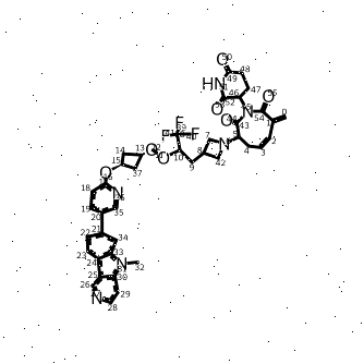 C=C1/C=C\CC(N2CC(CC(OO[C@H]3C[C@H](Oc4ccc(-c5ccc6c7cnccc7n(C)c6c5)cn4)C3)C(F)(F)F)C2)C(=O)N(C2CCC(=O)NC2=O)C1=O